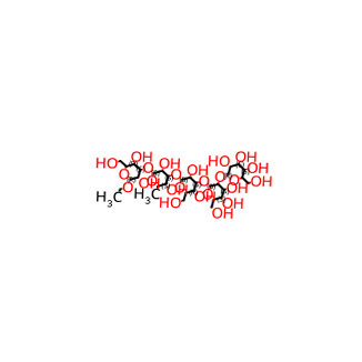 CCO[C@@H]1OC(CO)[C@@H](O)[C@H](O[C@@H]2OC(C)[C@H](O)[C@H](O[C@@H]3OC(CO)[C@@H](O)[C@H](O[C@@H]4OC(CO)[C@@H](O)[C@H](O)C4O[C@H]4OC(CO)[C@@H](O)[C@H](O)C4O)C3O)C2O)C1O